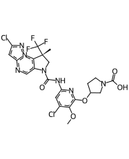 COc1c(Cl)cc(NC(=O)N2C[C@@](C)(C(F)(F)F)c3c2cnc2cc(Cl)nn32)nc1OC1CCN(C(=O)O)C1